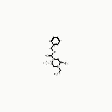 CCN1C[C@H](C)N(C(=O)OCc2ccccc2)CC1C